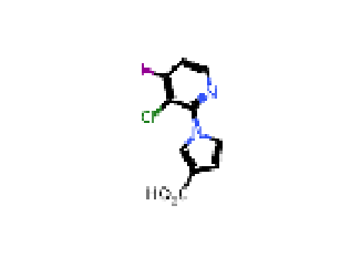 O=C(O)c1ccn(-c2nccc(I)c2Cl)c1